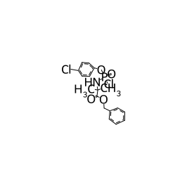 CC(C)(NP(=O)(Cl)Oc1ccc(Cl)cc1)C(=O)OCc1ccccc1